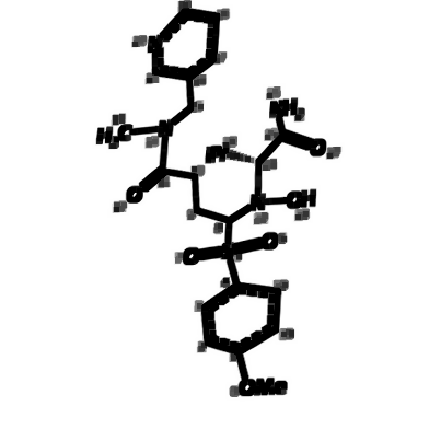 COc1ccc(S(=O)(=O)C(CCC(=O)N(C)Cc2cccnc2)N(O)[C@@H](C(N)=O)C(C)C)cc1